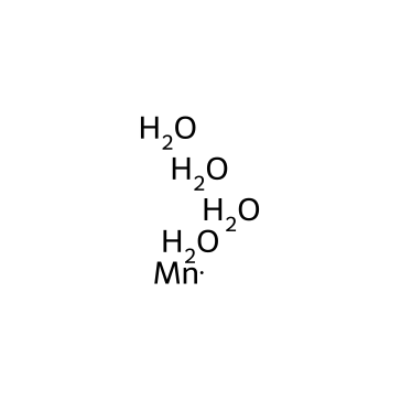 O.O.O.O.[Mn]